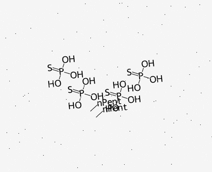 CCCCCC.CCCCCC.OP(O)(O)=S.OP(O)(O)=S.OP(O)(O)=S.OP(O)(O)=S